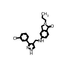 CCCN1Cc2cc(NCc3c[nH]nc3-c3cccc(Cl)c3)ccc2C1=O